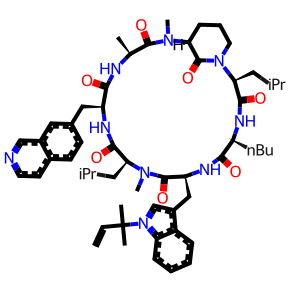 C=CC(C)(C)n1cc(C[C@@H]2NC(=O)[C@H](CCCC)NC(=O)[C@H](CC(C)C)N3CCC[C@@H](C3=O)N(C)C(=O)[C@H](C)NC(=O)[C@H](Cc3ccc4ccncc4c3)NC(=O)[C@H](CC(C)C)N(C)C2=O)c2ccccc21